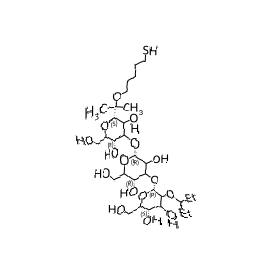 CCC(CC)OC1C(O)[C@H](O)C(CO)O[C@@H]1OC1C(O)[C@@H](OC2C(O)[C@@H](C(C)(C)OCCCCCS)OC(CO)[C@H]2O)OC(CO)[C@H]1O